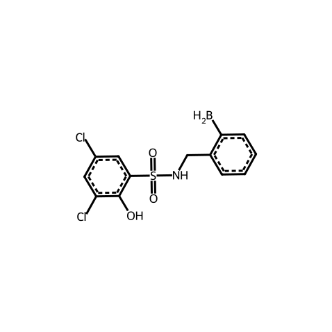 Bc1ccccc1CNS(=O)(=O)c1cc(Cl)cc(Cl)c1O